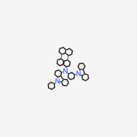 c1ccc(-c2cccc3cccc(-c4ccc(N(c5cccc(-n6c7ccccc7c7ccccc76)c5)c5cccc6c5c5ccccc5n6-c5ccccc5)cc4)c23)cc1